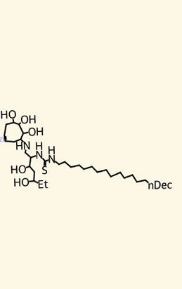 CCCCCCCCCCCCCCCCCCCCCCCCNC(=S)NC(CNC1C/C=C\CC(O)C(O)C1O)C(O)CC(O)CC